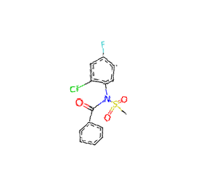 CS(=O)(=O)N(C(=O)c1ccccc1)c1c[c]c(F)cc1Cl